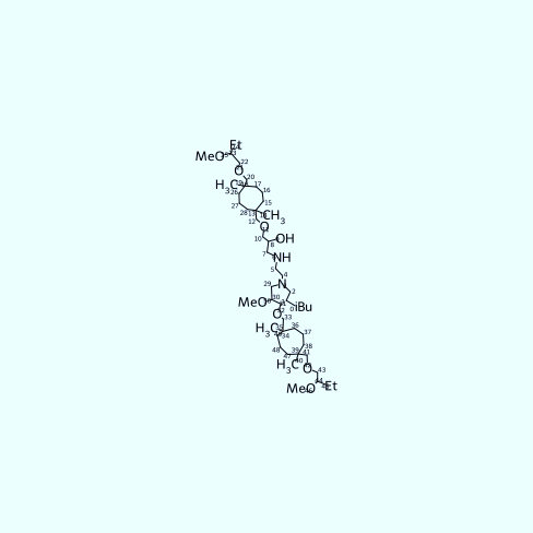 CCC(C)CCN(CCNCC(O)COCC1(C)CCCC(C)(COCC(CC)OC)CCC1)CC(COCC1(C)CCCC(C)(COCC(CC)OC)CCC1)OC